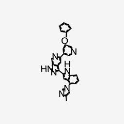 Cc1cn(-c2cccc3[nH]c(-c4n[nH]c5cnc(-c6cncc(OCc7ccccc7)c6)cc45)cc23)cn1